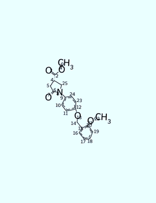 COC(=O)[C@H]1CC(=O)N(c2ccc(OCc3ccccc3OC)cc2)C1